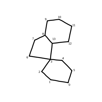 C1CCC2(CC1)CCC1CCCCC12